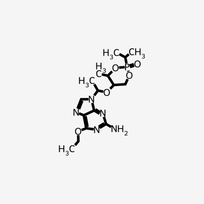 CCOc1nc(N)nc2c1ncn2C(C)OC1COP(=O)(C(C)C)OC1C